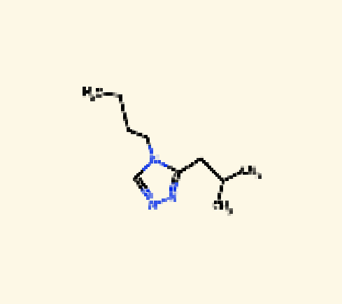 CCCCn1cnnc1CC(C)C